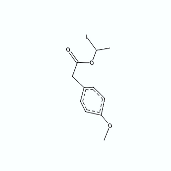 COc1ccc(CC(=O)OC(C)I)cc1